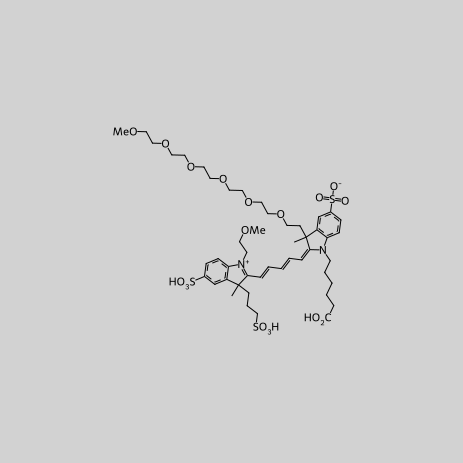 COCCOCCOCCOCCOCCOCCC1(C)\C(=C/C=C/C=C/C2=[N+](CCOC)c3ccc(S(=O)(=O)O)cc3C2(C)CCCS(=O)(=O)O)N(CCCCCC(=O)O)c2ccc(S(=O)(=O)[O-])cc21